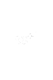 CCCSc1nc(N(CC)c2ccccc2)c2ncn([C@@H]3O[C@H](CO)[C@@H](O)[C@H]3O)c2n1